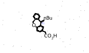 CCCC/C=C1\c2ccccc2COc2ccc(CC(=O)O)cc21